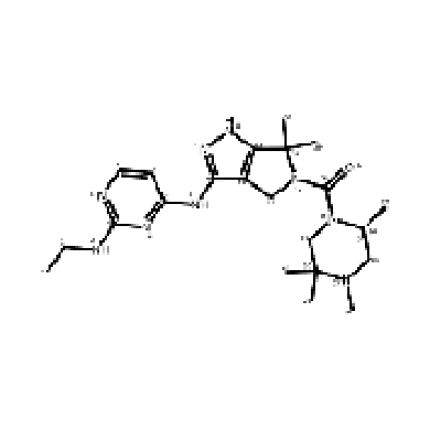 CCNc1nccc(Nc2n[nH]c3c2CN(C(=O)N2CC(C)(C)N(C)C[C@@H]2C)C3(C)C)n1